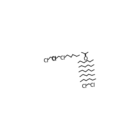 CC(C)=O.CCCCCC.CCCCCC.CCCCCC.CCCCCC.CCCCCC.CCCCCC.ClCCl.ClCCl.ClCCl